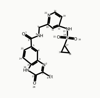 CCc1nc2cc(C(=O)NCc3cc(NS(=O)(=O)C4CC4)ccn3)ccc2[nH]c1=O